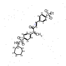 CCS(=O)(=O)c1ccc(/C=C/C(=O)N(C)c2ccc(S(=O)(=O)NC3CCCCCC3)cc2)cc1